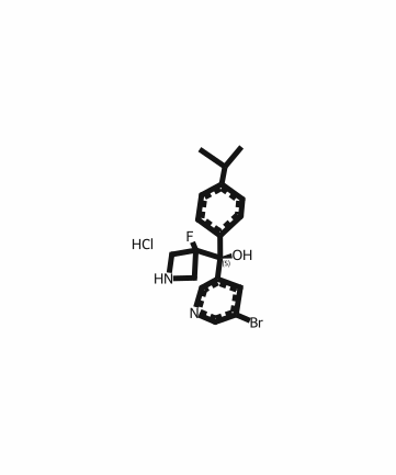 CC(C)c1ccc([C@](O)(c2cncc(Br)c2)C2(F)CNC2)cc1.Cl